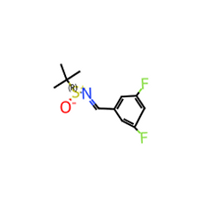 CC(C)(C)[S@+]([O-])N=Cc1cc(F)cc(F)c1